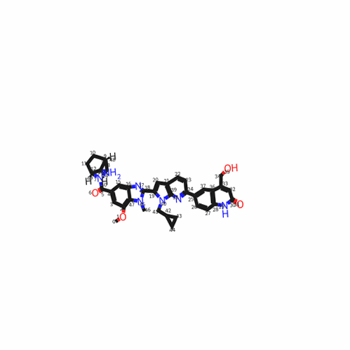 COc1cc(C(=O)N2C[C@H]3CC[C@@H]2[C@@H]3N)cc2nc(-c3cc4ccc(-c5ccc6[nH]c(=O)cc(CO)c6c5)nc4n3CC3CC3)n(C)c12